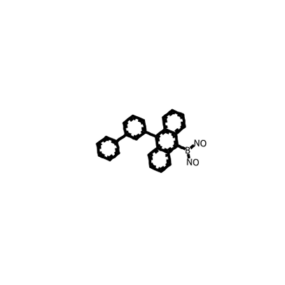 O=NB(N=O)c1c2ccccc2c(-c2cccc(-c3ccccc3)c2)c2ccccc12